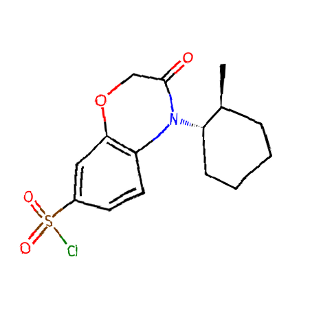 C[C@H]1CCCC[C@@H]1N1C(=O)COc2cc(S(=O)(=O)Cl)ccc21